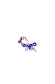 COC[C@@H]1CCCN1CCN1CCC(NC(=O)c2nn(C)c3nc(N4CCCCCC4)ccc23)CC1